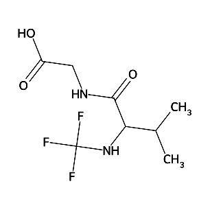 CC(C)C(NC(F)(F)F)C(=O)NCC(=O)O